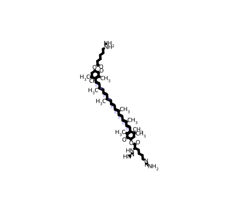 CC1=C(/C=C/C(C)=C/C=C/C(C)=C/C=C/C=C(C)/C=C/C=C(C)/C=C/C2=C(C)C(=O)C(OC(=O)C(CCCCN=NN)NN=N)CC2(C)C)C(C)(C)CC(OC(=O)CCCCCNN)C1=O